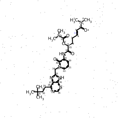 CN(C)C(=O)/C=C/CC[C@H](OC(=O)N(C)C)C(=O)Nc1cccn(Cc2nc3c(CCC(C)(C)C)ncnc3[nH]2)c1=O